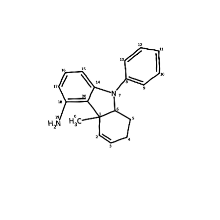 CC12C=CCCC1N(c1ccccc1)c1cccc(N)c12